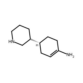 NC1=CC[C@H](C2CCCNC2)CC1